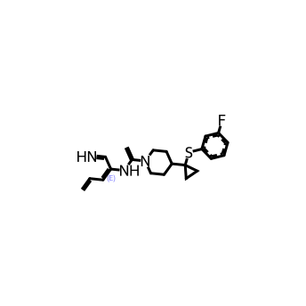 C=C/C=C(\C=N)NC(=C)N1CCC(C2(Sc3cccc(F)c3)CC2)CC1